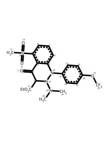 CCOC(=O)C1C(=O)c2c(cccc2S(C)(=O)=O)N(c2ccc(OC(F)(F)F)cc2)N1N(C)C